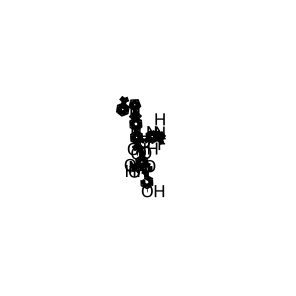 CC(C)c1ccccc1[C@@H]1CCCN1C1CC2(CCN(c3ccc(C(=O)NS(=O)(=O)c4cc5c(c([N+](=O)[O-])c4)N[C@H]([C@H]4CC[C@@H](O)CC4)CO5)c(Oc4cnc5[nH]cc(F)c5c4)c3)CC2)C1